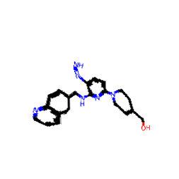 N=Nc1ccc(N2CCC(CO)CC2)nc1NCC1C=Cc2ncccc2C1